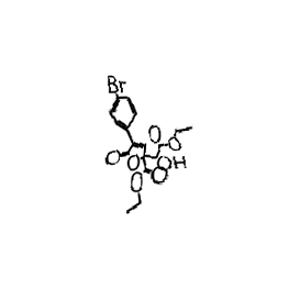 CCOC(=O)C(O)C1(C(=O)OCC)C=C(c2ccc(Br)cc2)C(=O)O1